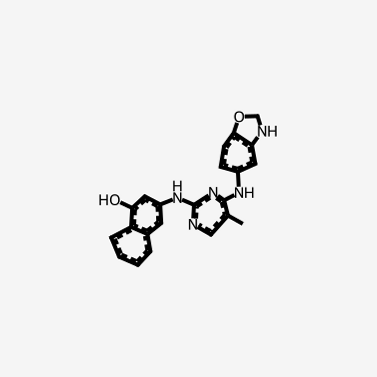 Cc1cnc(Nc2cc(O)c3ccccc3c2)nc1Nc1ccc2c(c1)NCO2